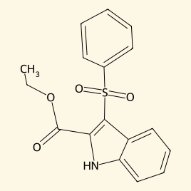 CCOC(=O)c1[nH]c2ccccc2c1S(=O)(=O)c1ccccc1